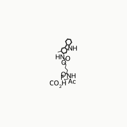 CC(=O)[C@H](NC(=O)CCCOC(=O)Nc1cc2[nH]c3ccccc3c2cc1C)[C@H](F)C(=O)O